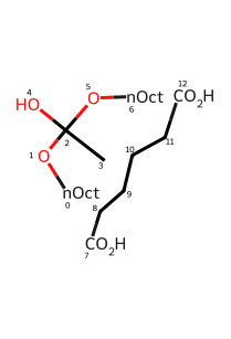 CCCCCCCCOC(C)(O)OCCCCCCCC.O=C(O)CCCCC(=O)O